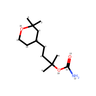 CC1(C)CC(CCC(C)(C)OC(N)=O)CCO1